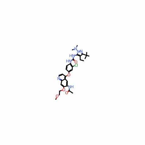 CCc1c(C(C)(C)C)nn(N(C)C)c1NC(=O)Nc1ccc(Oc2ccnc3cc(OCCOC)c(NC(C)=O)cc23)cc1Cl